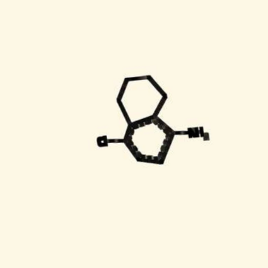 Nc1ccc(Cl)c2c1CCCC2